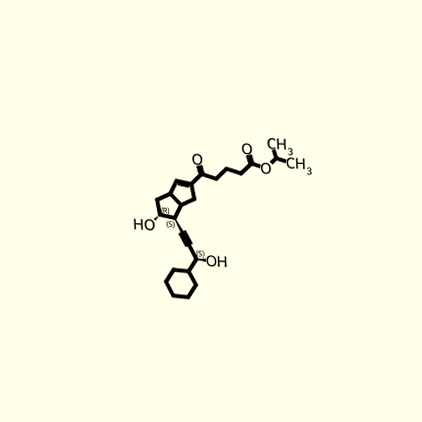 CC(C)OC(=O)CCCC(=O)C1=CC2C[C@@H](O)[C@H](C#C[C@@H](O)C3CCCCC3)C2C1